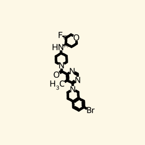 Cc1c(C(=O)N2CCC(N[C@@H]3CCOC[C@@H]3F)CC2)ncnc1N1CCc2ccc(Br)cc2C1